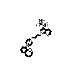 NC(=O)Nc1cn(CCCCN2CCN(c3cccc4c3OCCCC4)CC2)c2ncccc12